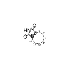 O=C1NC(=O)B2CCCCCCCB21